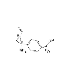 C=C[C@H]1C[C@]1(N)c1ccc([PH](=O)O)cc1